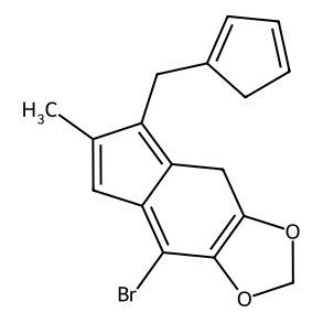 CC1=CC2=C(Br)C3=C(CC2=C1CC1=CC=CC1)OCO3